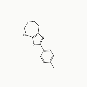 Cc1ccc(-c2nc3c(s2)NCCCC3)cc1